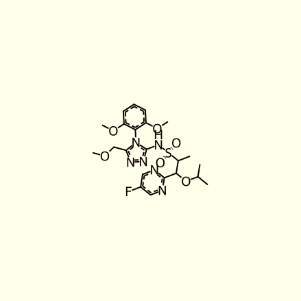 COCc1nnc(NS(=O)(=O)C(C)C(OC(C)C)c2ncc(F)cn2)n1-c1c(OC)cccc1OC